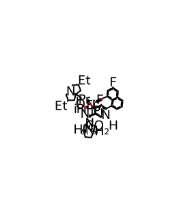 CCC1CN2CC(CC)CC2(COc2nc(N3C[C@H]4CC[C@@H](C3)N4C(=O)O)c3cnc(-c4cccc5cc(F)cc(C#C[Si](C(C)C)(C(C)C)C(C)C)c45)c(F)c3n2)C1